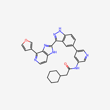 O=C(CC1CCCCC1)Nc1cncc(-c2ccc3[nH]nc(-c4nc5c(-c6ccoc6)nccc5[nH]4)c3c2)c1